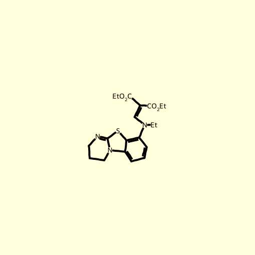 CCOC(=O)C(=CN(CC)c1cccc2c1SC1=NCCCN12)C(=O)OCC